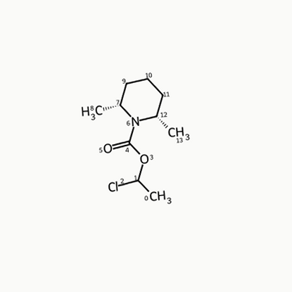 CC(Cl)OC(=O)N1[C@H](C)CCC[C@@H]1C